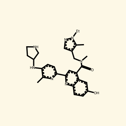 CCn1ncc(CN(C)C(=O)c2cc(-c3ccc(NC4CCNC4)c(C)n3)nc3ccc(O)cc23)c1C